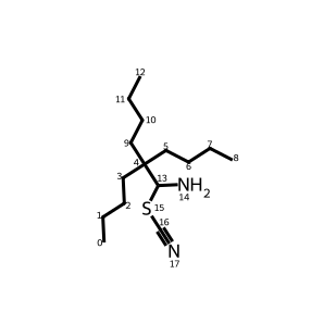 CCCCC(CCCC)(CCCC)C(N)SC#N